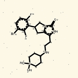 OS1(O)CCC(NCCc2[nH]c(=S)n3c2CC(c2c(F)ccc(Br)c2F)C3)CC1